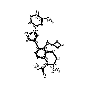 C[C@H]1C[C@H](n2cc(-c3ccc4c(c3OC3CCC3)CC[C@H](C)N4C(=O)O)cn2)CCN1